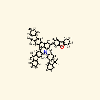 CC1(C)c2ccccc2-c2cc(N3c4cc5c(cc4B4c6cc7c(cc6-c6cc(-c8ccc9c(c8)oc8ccccc89)cc3c64)-c3ccccc3C7(C)C)C(C)(C)c3ccccc3-5)ccc21